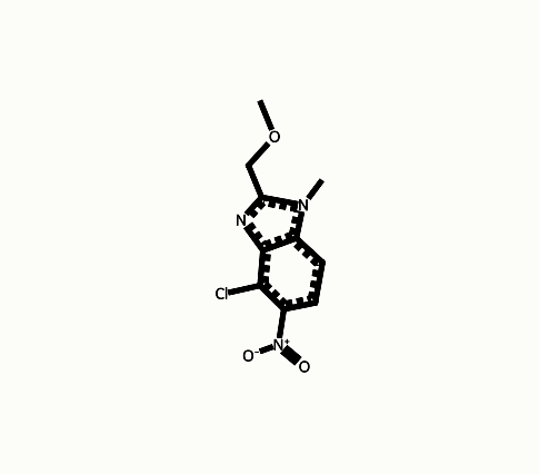 COCc1nc2c(Cl)c([N+](=O)[O-])ccc2n1C